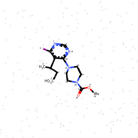 CC(CC(=O)O)c1c(I)ncnc1N1CCN(C(=O)OC(C)(C)C)CC1